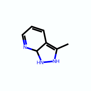 CC1=C2C=CC=NC2NN1